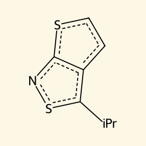 CC(C)c1snc2sccc12